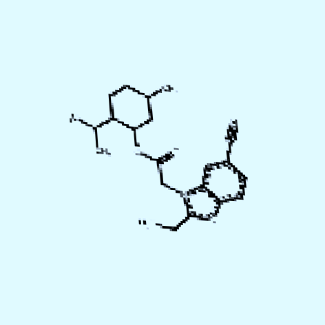 CCc1nc2ccc(C#N)cc2n1CC(=O)O[C@@H]1CC(C)CCC1C(C)C